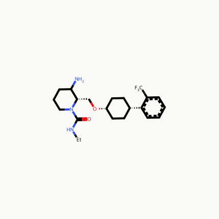 CCNC(=O)N1CCCC(N)[C@@H]1CO[C@H]1CC[C@@H](c2ccccc2C(F)(F)F)CC1